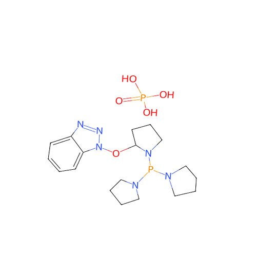 O=P(O)(O)O.c1ccc2c(c1)nnn2OC1CCCN1P(N1CCCC1)N1CCCC1